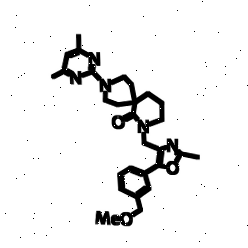 COCc1cccc(-c2oc(C)nc2CN2CCCC3(CCN(c4nc(C)cc(C)n4)CC3)C2=O)c1